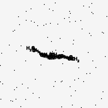 C=CC(=O)CCCCCCCOc1ccc(CCc2ccc3c(c2)C(C)(C)c2cc(CCc4ccc(OCCCCCCOC(=O)C=C)cc4)ccc2-3)cc1